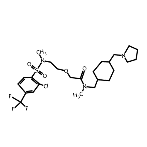 CN(CC1CCC(CN2CCCC2)CC1)C(=O)COCCN(C)S(=O)(=O)c1ccc(C(F)(F)F)cc1Cl